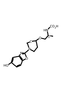 C[C@@H](COC1CCN(c2nc3cc(O)ccc3o2)CC1)NC(=O)O